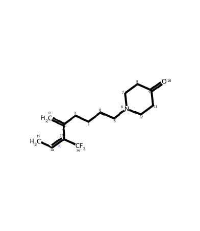 C=C(CCCCN1CCC(=O)CC1)/C(=C\C)C(F)(F)F